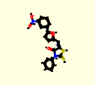 O=C1/C(=C\c2ccc(-c3cccc([N+](=O)[O-])c3)o2)SC(=S)N1c1ccccc1